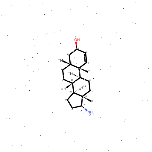 C[C@]12C=C[C@H](O)C[C@H]1CC[C@@H]1[C@@H]2CC[C@]2(C)[C@@H](N)CC[C@@H]12